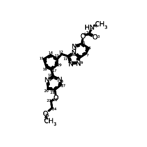 CNC(=O)Oc1ccc2nnc(Cc3cccc(-c4ncc(OCCOC)cn4)c3)n2n1